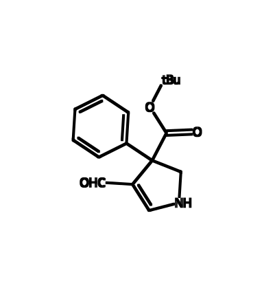 CC(C)(C)OC(=O)C1(c2ccccc2)CNC=C1C=O